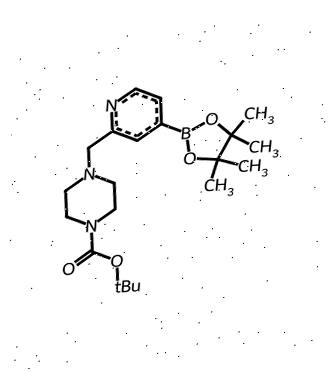 CC(C)(C)OC(=O)N1CCN(Cc2cc(B3OC(C)(C)C(C)(C)O3)ccn2)CC1